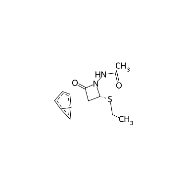 CCS[C@@H]1CC(=O)N1NC(C)=O.c1cc2cc-2c1